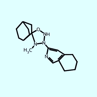 CN1N(c2cc3c(cn2)CCCC3)NOC12CC1CCC2CC1